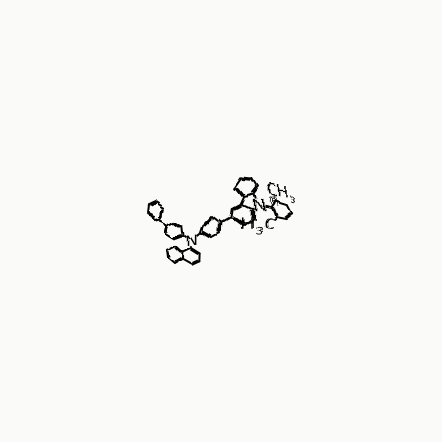 CC1=C(n2c3ccccc3c3cc(-c4ccc(N(c5ccc(-c6ccccc6)cc5)c5cccc6ccccc56)cc4)ccc32)[C@H](C)CC=C1